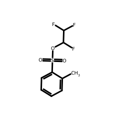 Cc1ccccc1S(=O)(=O)OC(F)C(F)F